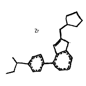 CCC(C)c1ccc(-c2cccc3c2C=C(CC2CCCC2)[CH]3)cc1.[Zr]